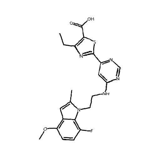 CCc1nc(-c2cc(NCCn3c(C)cc4c(OC)ccc(F)c43)ncn2)sc1C(=O)O